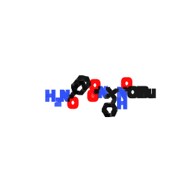 CC(C)COC(=O)NCC1(Cc2ccccc2)CN(C(=O)OC2C3CC4CC2CC(C(N)=O)(C4)C3)C1